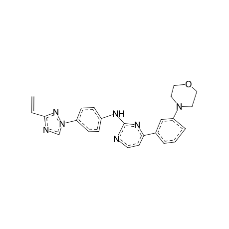 C=Cc1ncn(-c2ccc(Nc3nccc(-c4cccc(N5CCOCC5)c4)n3)cc2)n1